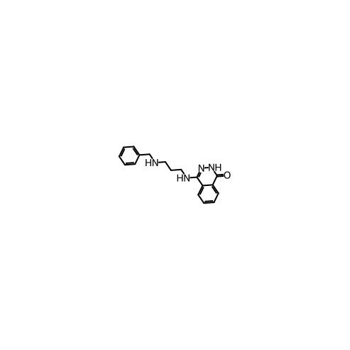 O=c1[nH]nc(NCCCNCc2ccccc2)c2ccccc12